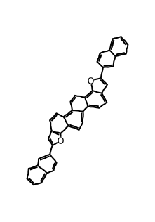 c1ccc2cc(-c3cc4ccc5c6ccc7c(ccc8cc(-c9ccc%10ccccc%10c9)oc87)c6ccc5c4o3)ccc2c1